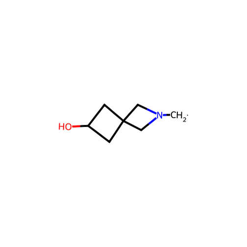 [CH2]N1CC2(CC(O)C2)C1